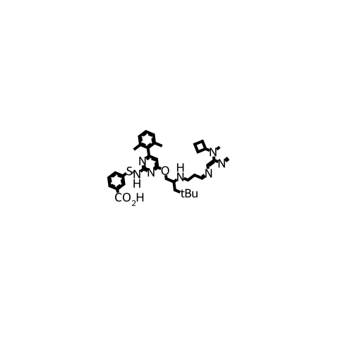 C=N/C(=C\N=C/CCNC(COc1cc(-c2c(C)cccc2C)nc(NSc2cccc(C(=O)O)c2)n1)CC(C)(C)C)N(C)C1CCC1